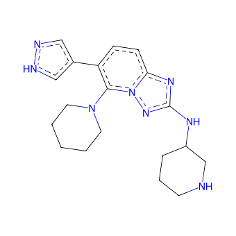 c1n[nH]cc1-c1ccc2nc(NC3CCCNC3)nn2c1N1CCCCC1